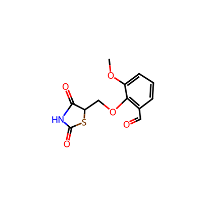 COc1cccc(C=O)c1OCC1SC(=O)NC1=O